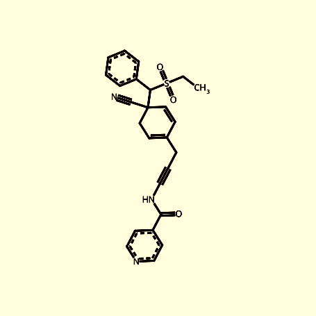 CCS(=O)(=O)C(c1ccccc1)C1(C#N)C=CC(CC#CNC(=O)c2ccncc2)=CC1